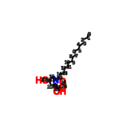 CCCCCCCCCCCCCCCC(=O)N1CC(O)C[C@H]1C(=O)O